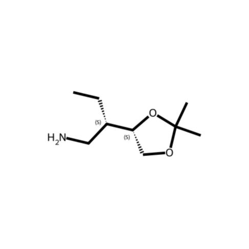 CC[C@@H](CN)[C@H]1COC(C)(C)O1